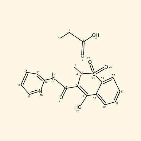 CCC(=O)O.CN1C(C(=O)Nc2ccccn2)=C(O)c2ccccc2S1(=O)=O